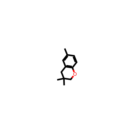 Cc1ccc2c(c1)CC(C)(C)CO2